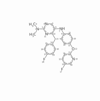 CN(C)c1ncc(Nc2ccc(Oc3ccc(F)cn3)cc2)c(Cc2ccc(F)cc2)n1